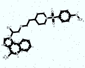 CCC(COCCC1CCN(S(=O)(=O)c2ccc(OC(F)(F)F)cc2)CC1)n1cnc2c(N)nc3ccccc3c21